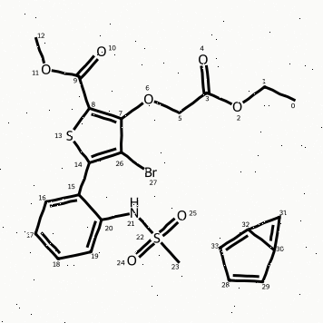 CCOC(=O)COc1c(C(=O)OC)sc(-c2ccccc2NS(C)(=O)=O)c1Br.c1cc2cc-2c1